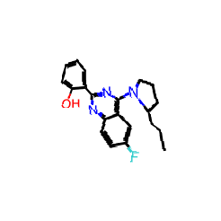 CCCC1CCCN1c1nc(-c2ccccc2O)nc2ccc(F)cc12